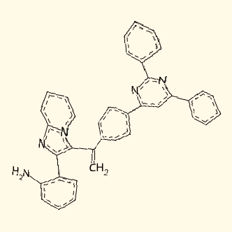 C=C(c1ccc(-c2cc(-c3ccccc3)nc(-c3ccccc3)n2)cc1)c1c(-c2ccccc2N)nc2ccccn12